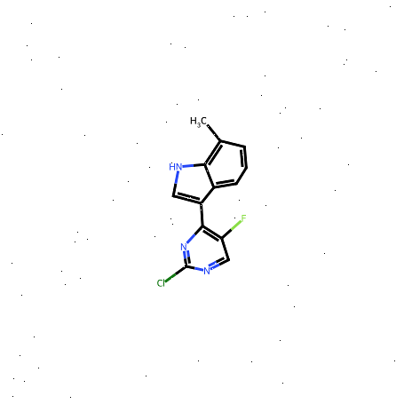 Cc1cccc2c(-c3nc(Cl)ncc3F)c[nH]c12